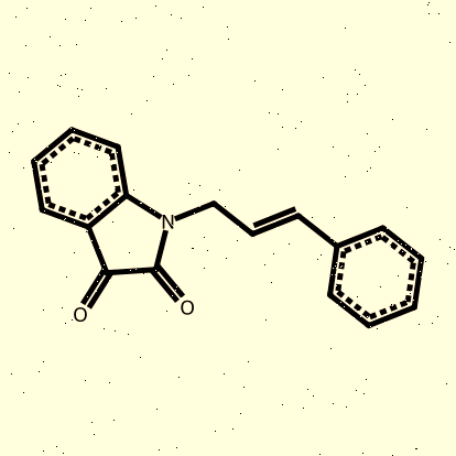 O=C1C(=O)N(CC=Cc2ccccc2)c2ccccc21